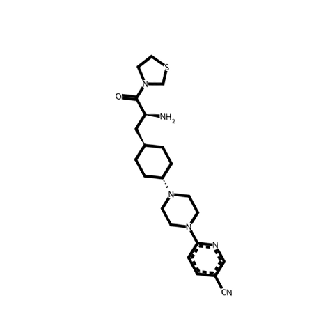 N#Cc1ccc(N2CCN([C@H]3CC[C@H](C[C@H](N)C(=O)N4CCSC4)CC3)CC2)nc1